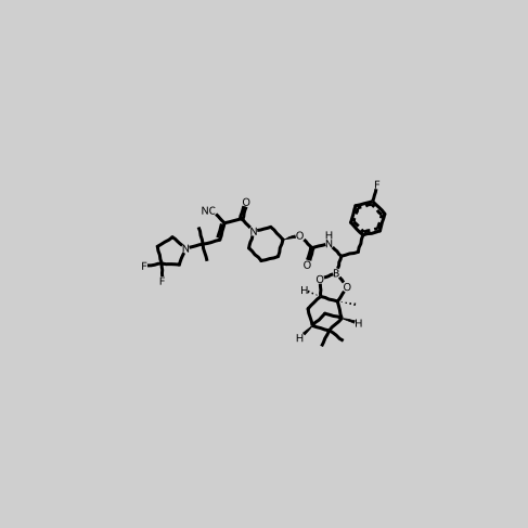 CC1(C)[C@@H]2C[C@H]3OB(C(Cc4ccc(F)cc4)NC(=O)O[C@H]4CCCN(C(=O)C(C#N)=CC(C)(C)N5CCC(F)(F)C5)C4)O[C@@]3(C)[C@H]1C2